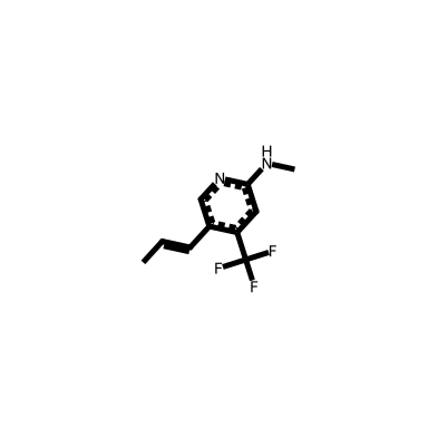 C/C=C/c1cnc(NC)cc1C(F)(F)F